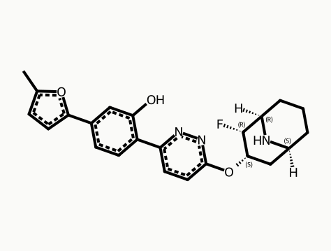 Cc1ccc(-c2ccc(-c3ccc(O[C@H]4C[C@@H]5CCC[C@@H](N5)[C@H]4F)nn3)c(O)c2)o1